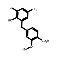 CCCCOc1cc(Cc2cc(C(F)(F)F)cc(Cl)c2O)ccc1C(=O)O